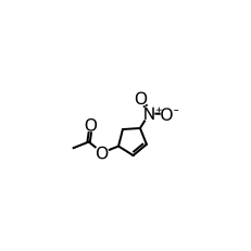 CC(=O)OC1C=CC([N+](=O)[O-])C1